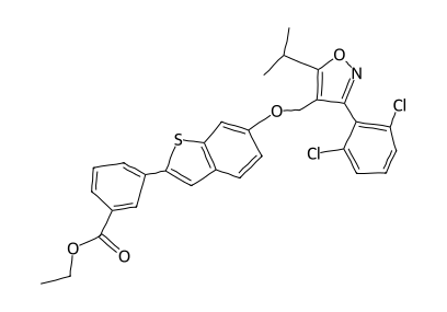 CCOC(=O)c1cccc(-c2cc3ccc(OCc4c(-c5c(Cl)cccc5Cl)noc4C(C)C)cc3s2)c1